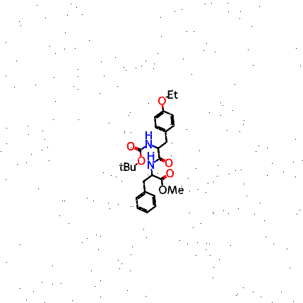 CCOc1ccc(CC(NC(=O)OC(C)(C)C)C(=O)NC(Cc2ccccc2)C(=O)OC)cc1